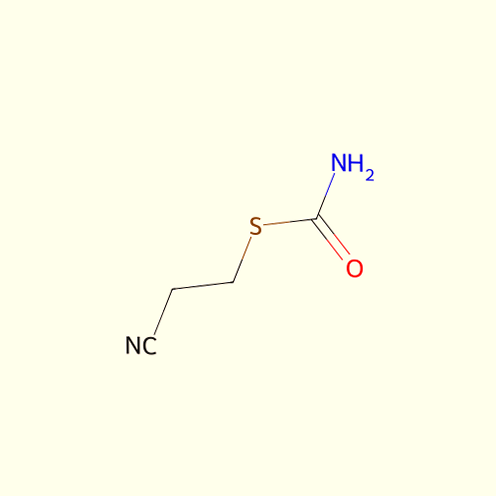 N#CCCSC(N)=O